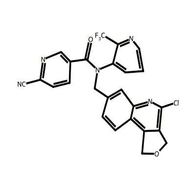 N#Cc1ccc(C(=O)N(Cc2ccc3c4c(c(Cl)nc3c2)COC4)c2cccnc2C(F)(F)F)cn1